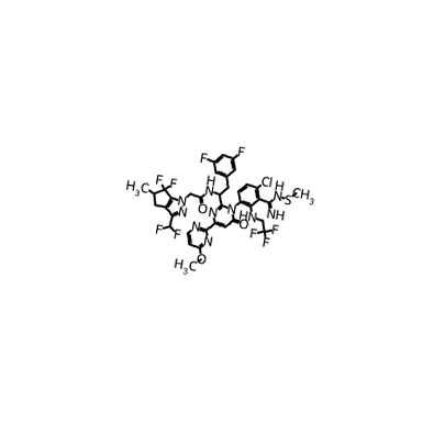 COc1ccnc(-c2cc(=O)n(-c3ccc(Cl)c(C(=N)NSC)c3NCC(F)(F)F)c(C(Cc3cc(F)cc(F)c3)NC(=O)Cn3nc(C(F)F)c4c3C(F)(F)C(C)C4)n2)n1